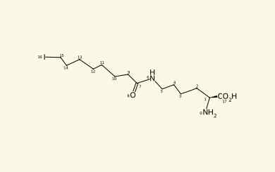 N[C@@H](CCCCNC(=O)CCCCCCCI)C(=O)O